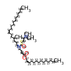 C=C(CC/C=C\CCCCCCCCCCC)CCCN(CCCC(=O)OC/C=C\CCCCCCCCCCC)C(=O)SCCN(C)C